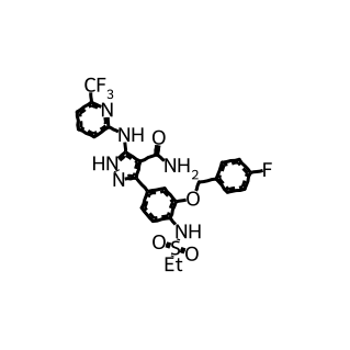 CCS(=O)(=O)Nc1ccc(-c2n[nH]c(Nc3cccc(C(F)(F)F)n3)c2C(N)=O)cc1OCc1ccc(F)cc1